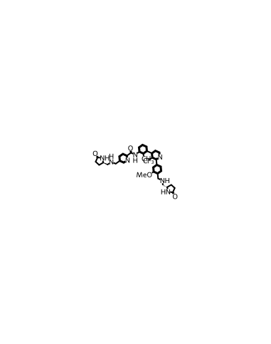 COc1cc(-c2nccc(-c3cccc(NC(=O)c4ccc(CNC[C@H]5CCC(=O)N5)cn4)c3C)c2Cl)ccc1CNC[C@@H]1CCC(=O)N1